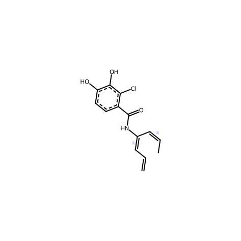 C=C/C=C(\C=C/C)NC(=O)c1ccc(O)c(O)c1Cl